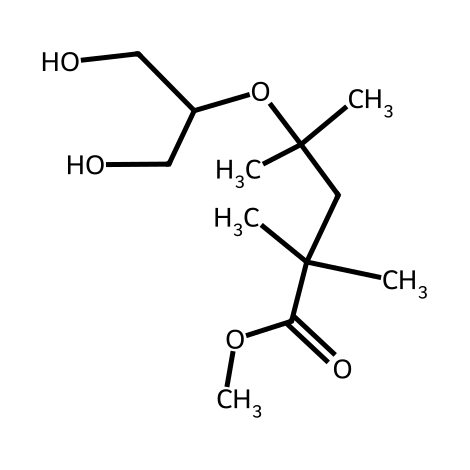 COC(=O)C(C)(C)CC(C)(C)OC(CO)CO